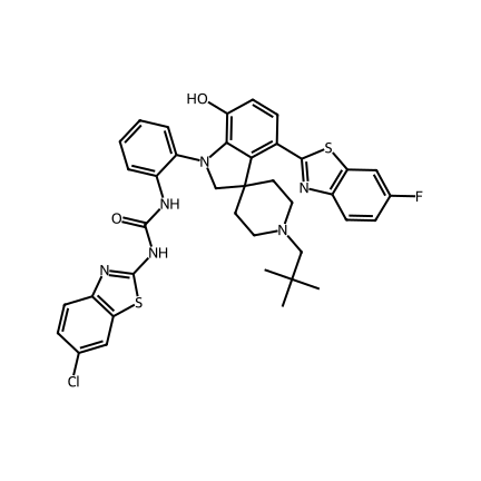 CC(C)(C)CN1CCC2(CC1)CN(c1ccccc1NC(=O)Nc1nc3ccc(Cl)cc3s1)c1c(O)ccc(-c3nc4ccc(F)cc4s3)c12